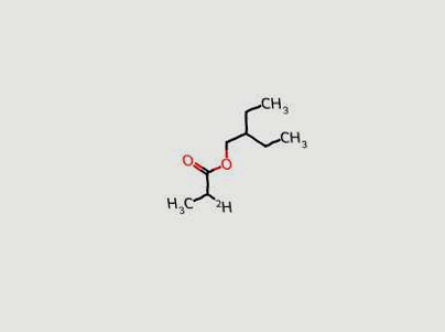 [2H]C(C)C(=O)OCC(CC)CC